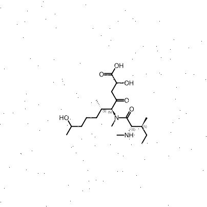 CC[C@H](C)[C@H](NC)C(=O)N(C)[C@H](C(=O)CC(O)C(=O)O)[C@@H](C)CCCC(C)O